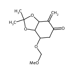 C=C1C(=O)CC(OCOC)C2OC(C)(C)OC12